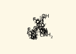 CC(C)(O)C#Cc1ccc(-c2ccc(Cl)n3c(N)nnc23)c([C@H](Cc2cc(F)cc(F)c2)NC(=O)Cn2nc(C(F)F)c3c2C(F)(F)[C@@H]2C#C[C@H]32)n1